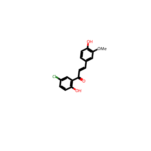 COc1cc(C=CC(=O)c2cc(Cl)ccc2O)ccc1O